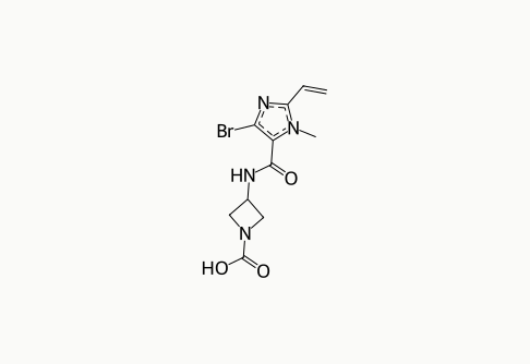 C=Cc1nc(Br)c(C(=O)NC2CN(C(=O)O)C2)n1C